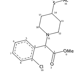 COC(=O)C(c1ccccc1Cl)N1CCC(SC(C)=O)CC1